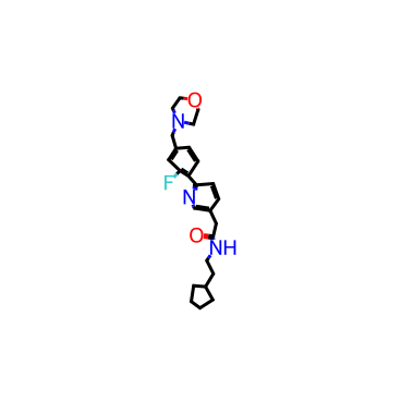 O=C(Cc1ccc(-c2ccc(CN3CCOCC3)cc2F)nc1)NCCC1CCCC1